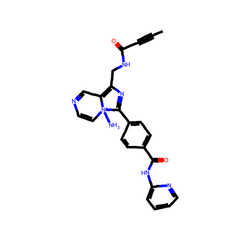 CC#CC(=O)NCC1=C2C=NC=C[N+]2(N)C(c2ccc(C(=O)Nc3ccccn3)cc2)=N1